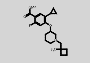 COC(=O)c1cc(C2CC2)c(OC2CCCN(CC3(C(F)(F)F)CCC3)C2)cc1F